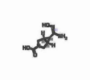 N/C(=N/O)[C@H]1[C@@H]2CN(C(=O)O)C[C@@H]21